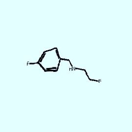 FCCNCc1ccc(F)cc1